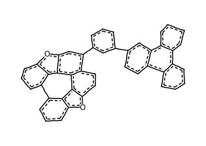 c1cc(-c2ccc3c4ccccc4c4ccccc4c3c2)cc(-c2cc3oc4cccc5c4c3c3c2ccc2oc4cccc-5c4c23)c1